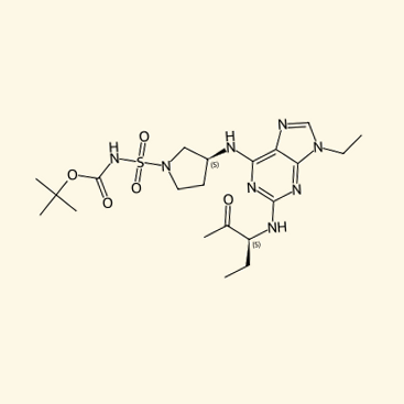 CC[C@H](Nc1nc(N[C@H]2CCN(S(=O)(=O)NC(=O)OC(C)(C)C)C2)c2ncn(CC)c2n1)C(C)=O